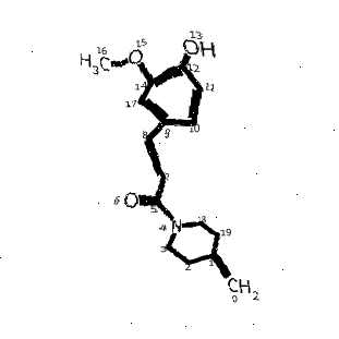 C=C1CCN(C(=O)/C=C/c2ccc(O)c(OC)c2)CC1